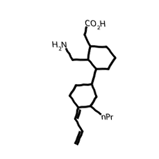 C=C/C=C1/CCC(C2CCCC(CC(=O)O)C2CN)CC1CCC